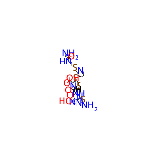 NCC(=O)NCCSCc1ncccc1SC1=C(C(=O)O)N2C(=O)[C@@H](NC(=O)/C(=N\O)c3nsc(N)n3)[C@@H]2SC1